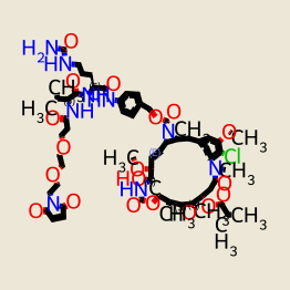 COc1cc2cc(c1Cl)N(C)C(=O)CC(OC(=O)C(C)C)[C@]1(C)O[C@H]1C(C)C1C[C@](O)(NC(=O)O1)C(OC)/C=C/C1N(C(=O)OCc3ccc(NC(=O)[C@H](CCCNC(N)=O)NC(=O)[C@@H](NC(=O)CCOCCOCCN4C(=O)C=CC4=O)C(C)C)cc3)C1(C)C2